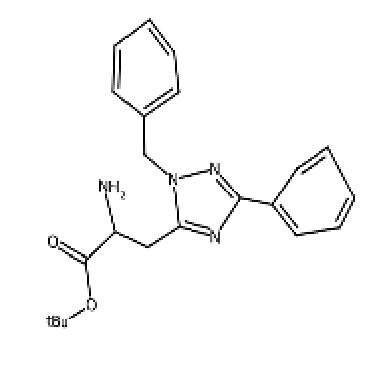 CC(C)(C)OC(=O)C(N)Cc1nc(-c2ccccc2)nn1Cc1ccccc1